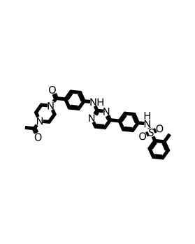 CC(=O)N1CCN(C(=O)c2ccc(Nc3nccc(-c4ccc(NS(=O)(=O)c5ccccc5C)cc4)n3)cc2)CC1